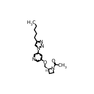 CCCCCc1cn(-c2cncc(OC[C@@H]3CCN3C(C)=O)c2)nn1